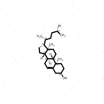 CC(C)[C@H](C)CC[C@@H](C)[C@H]1CC[C@H]2[C@@H]3CC=C4C[C@H](O)CC[C@]4(C)[C@H]3CC[C@]12C